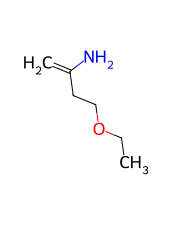 C=C(N)CCOCC